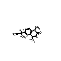 C#CC(C)(C)c1ccc2c(c1)c(C(F)(F)F)cc(=O)n2N